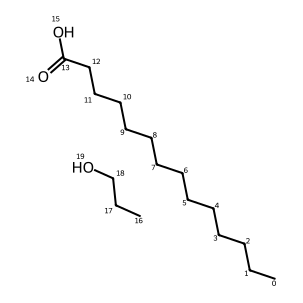 CCCCCCCCCCCCCC(=O)O.CCCO